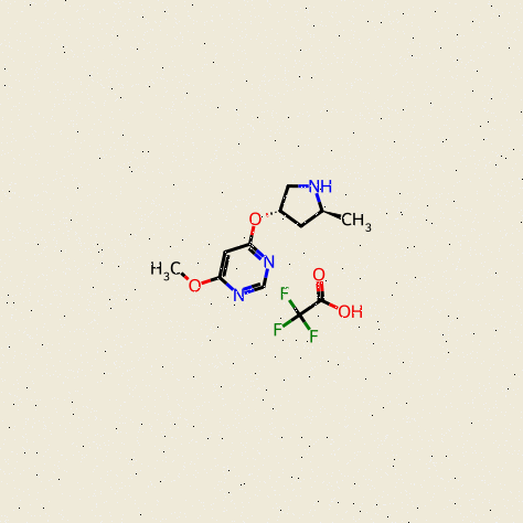 COc1cc(O[C@@H]2CN[C@@H](C)C2)ncn1.O=C(O)C(F)(F)F